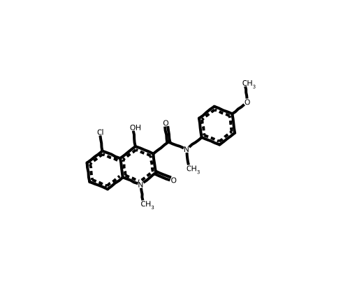 COc1ccc(N(C)C(=O)c2c(O)c3c(Cl)cccc3n(C)c2=O)cc1